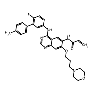 C=CC(=O)Nc1cc2c(Nc3ccc(F)c(-c4ccc(C)cc4)c3)ncnc2cc1OCCCN1CCOCC1